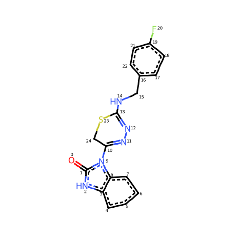 O=c1[nH]c2ccccc2n1C1=NN=C(NCc2ccc(F)cc2)SC1